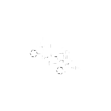 CCC1(CC)CC(=O)N([C@H](c2cccnc2)[C@H]2C[C@@H]2C(=O)N[C@H]2CC(C)(C)Oc3ccccc32)C(=NC(=O)OC(C)(C)C)N1